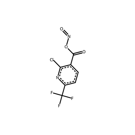 O=NOC(=O)c1ccc(C(F)(F)F)nc1Cl